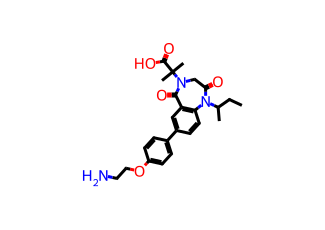 CCC(C)N1C(=O)CN(C(C)(C)C(=O)O)C(=O)c2cc(-c3ccc(OCCN)cc3)ccc21